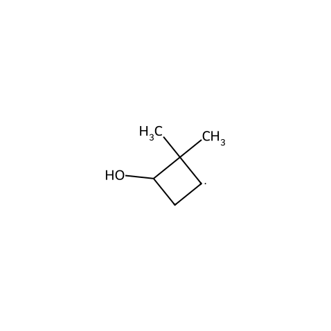 CC1(C)[CH]CC1O